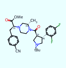 COC(=O)[C@H](Cc1ccc(C#N)cc1)N1CCN(C(=O)[C@@H]2CN(C(C)(C)C)C[C@H]2c2ccc(F)cc2F)[C@@H](C)C1